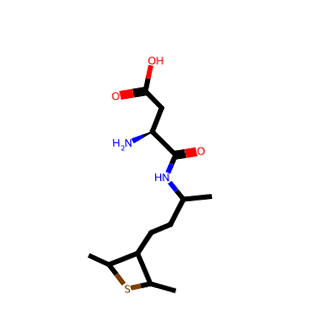 CC(CCC1C(C)SC1C)NC(=O)[C@@H](N)CC(=O)O